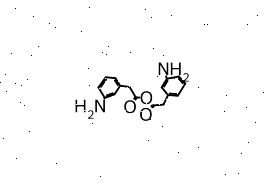 Nc1cccc(CC(=O)OC(=O)Cc2cccc(N)c2)c1